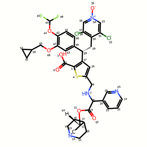 O=C(O)c1sc(CNC(C(=O)O[C@H]2CN3CCC2CC3)c2cccnc2)cc1[C@@H](Cc1c(Cl)c[n+]([O-])cc1Cl)c1ccc(OC(F)F)c(OCC2CC2)c1